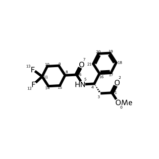 COC(=O)C[C@H](NC(=O)C1CCC(F)(F)CC1)c1ccccc1